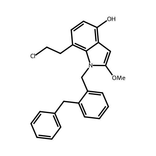 COc1cc2c(O)ccc(CCCl)c2n1Cc1ccccc1Cc1ccccc1